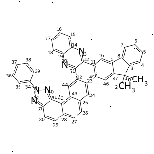 CC1(C)c2ccccc2-c2cc(-c3nc4ccccc4nc3-c3ccc4ccc5ccc6nn(-c7ccccc7)nc6c5c4c3)ccc21